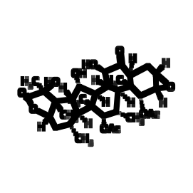 CC(=O)O[C@H]1[C@@H](C)[C@H]2[C@H]([C@@H]3[C@@H](O)[C@@H]4[C@H]([C@H](C)C[C@@H]5OC(=O)[C@@](C)(O)[C@]45C)[C@]31C)[C@@H](O)C(=O)[C@H]1C[C@@H]3O[C@@H]3[C@H](OC(C)=O)[C@]21C